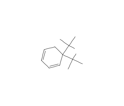 CC(C)(C)C1(C(C)(C)C)C=CC=CC1